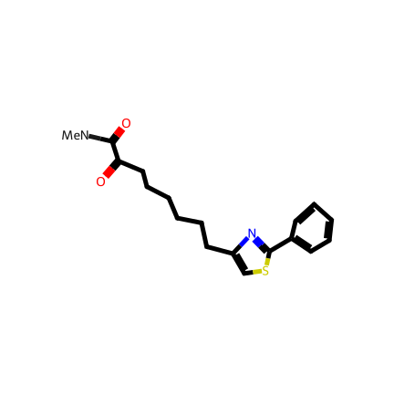 CNC(=O)C(=O)CCCCCCc1csc(-c2ccccc2)n1